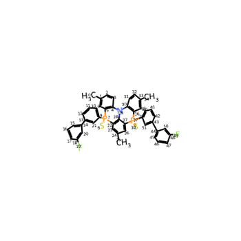 Cc1ccc2c(c1)P(=S)(c1cccc(-c3cccc(F)c3)c1)c1cc(C)cc3c1N2c1ccc(C)cc1P3(=S)c1cccc(-c2cccc(F)c2)c1